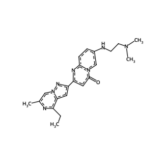 CCc1nc(C)cn2nc(-c3cc(=O)n4cc(NCCN(C)C)ccc4n3)cc12